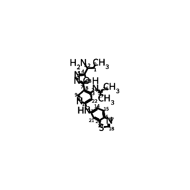 CCC(N)c1nnc(-c2cnc(Nc3ccc4ncsc4c3)cc2NC(C)C)o1